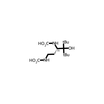 CC(C)(C)C(O)([C@H](CCNC(=O)O)NC(=O)O)C(C)(C)C